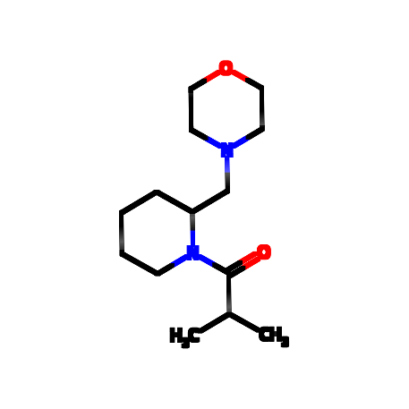 CC(C)C(=O)N1CCCCC1CN1CCOCC1